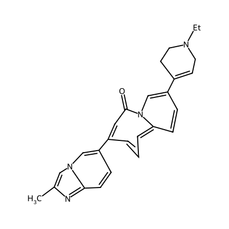 CCN1CC=C(C2=CN3C(=O)\C=C(c4ccc5nc(C)cn5c4)/C=C/C=C/3C=C2)CC1